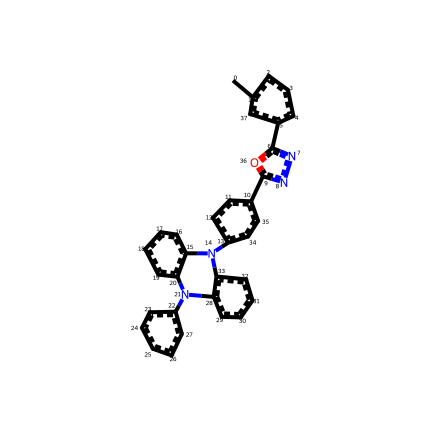 Cc1cccc(-c2nnc(-c3ccc(N4c5ccccc5N(c5ccccc5)c5ccccc54)cc3)o2)c1